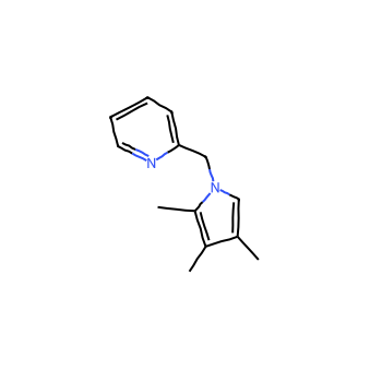 Cc1cn(Cc2ccccn2)c(C)c1C